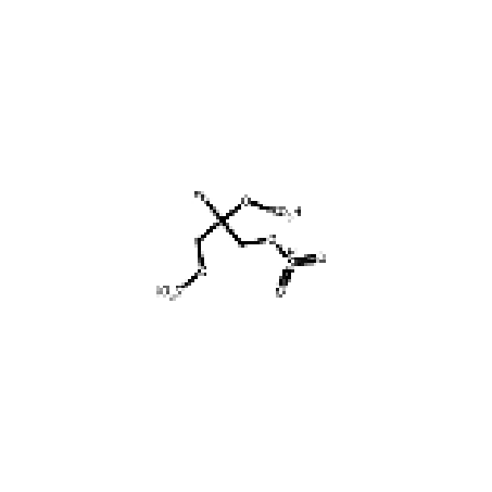 CCC(CO[SH](=O)=O)(COS(=O)(=O)O)OS(=O)(=O)O